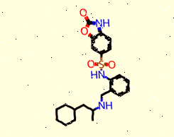 CC(CC1CCCCC1)NCc1ccccc1NS(=O)(=O)c1ccc2[nH]c(=O)oc2c1